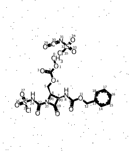 COC(=O)OC[C@H]1[C@@H](NC(=O)OCc2ccccc2)C(=O)N1C(=O)NS(=O)(=O)Cl.O=C=NS(=O)(=O)Cl